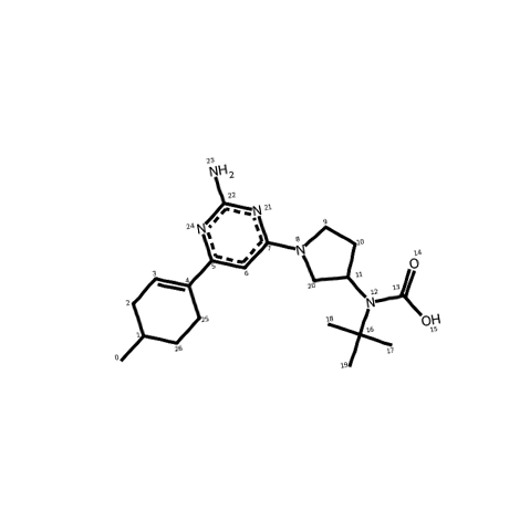 CC1CC=C(c2cc(N3CCC(N(C(=O)O)C(C)(C)C)C3)nc(N)n2)CC1